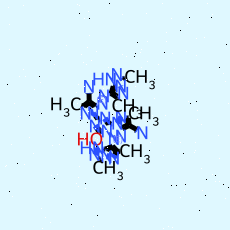 Cc1nn(-c2nc(O)nc(-n3nc(C)c(C#N)c3/N=N/c3c(C)nn4c(C)n[nH]c34)n2)c(/N=N/c2c(C)nn3c(C)n[nH]c23)c1C#N